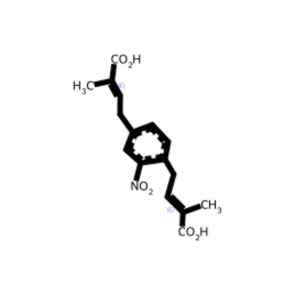 C/C(=C\Cc1ccc(C/C=C(\C)C(=O)O)c([N+](=O)[O-])c1)C(=O)O